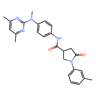 Cc1cccc(N2CC(C(=O)Nc3ccc(N(C)c4nc(C)cc(C)n4)cc3)CC2=O)c1